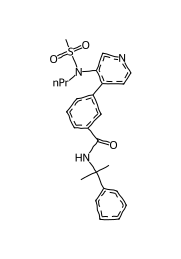 CCCN(c1cnccc1-c1cccc(C(=O)NC(C)(C)c2ccccc2)c1)S(C)(=O)=O